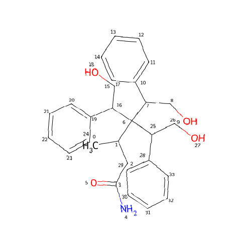 CC(CC(N)=O)C(C(CO)c1ccccc1)(C(CO)c1ccccc1)C(CO)c1ccccc1